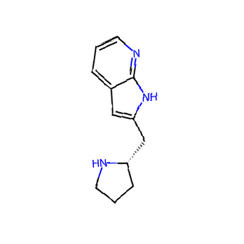 c1cnc2[nH]c(C[C@@H]3CCCN3)cc2c1